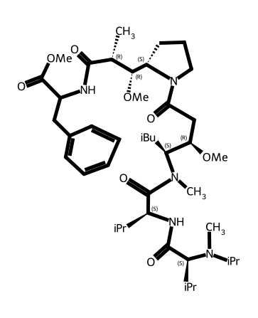 CCC(C)[C@@H]([C@@H](CC(=O)N1CCC[C@H]1[C@H](OC)[C@@H](C)C(=O)NC(Cc1ccccc1)C(=O)OC)OC)N(C)C(=O)[C@@H](NC(=O)[C@H](C(C)C)N(C)C(C)C)C(C)C